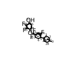 CC12CCC(C34CCC(C(F)(F)Oc5ccc(O)c(F)c5F)(C=C3F)CC4)(CC1)CC2